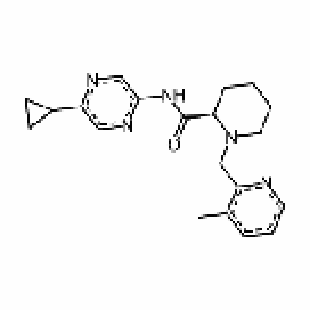 Cc1cccnc1CN1CCCC[C@@H]1C(=O)Nc1cnc(C2CC2)cn1